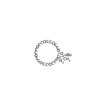 CCCCC(C)(C)OC1COCCOCCOCCOCCOCCOCCOCCO1